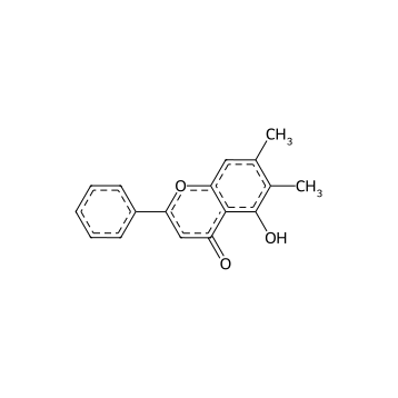 Cc1cc2oc(-c3ccccc3)cc(=O)c2c(O)c1C